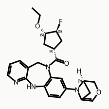 CCO[C@H]1C[C@@H](C(=O)N2Cc3cccnc3Nc3ccc(N4C5=COC[C@H]4C5)cc32)C[C@@H]1F